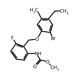 CCc1cc(Br)c(OCc2c(F)cccc2NC(=O)OC)cc1C